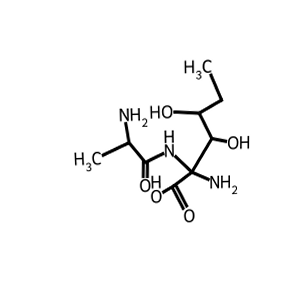 CCC(O)C(O)C(N)(NC(=O)C(C)N)C(=O)O